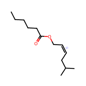 CCCCCC(=O)OC/C=C\CC(C)C